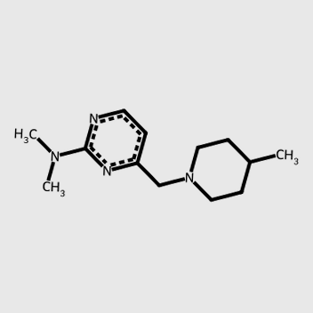 CC1CCN(Cc2ccnc(N(C)C)n2)CC1